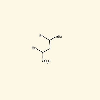 CCCCC(CC)CC(Br)C(=O)O